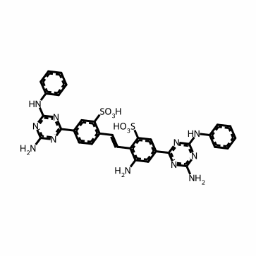 Nc1nc(Nc2ccccc2)nc(-c2ccc(C=Cc3c(N)cc(-c4nc(N)nc(Nc5ccccc5)n4)cc3S(=O)(=O)O)c(S(=O)(=O)O)c2)n1